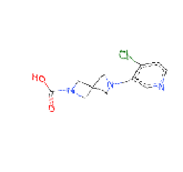 O=C(O)N1CC2(C1)CN(c1cnccc1Cl)C2